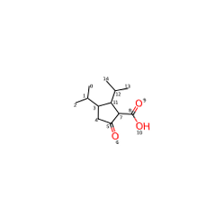 CC(C)C1CC(=O)C(C(=O)O)C1C(C)C